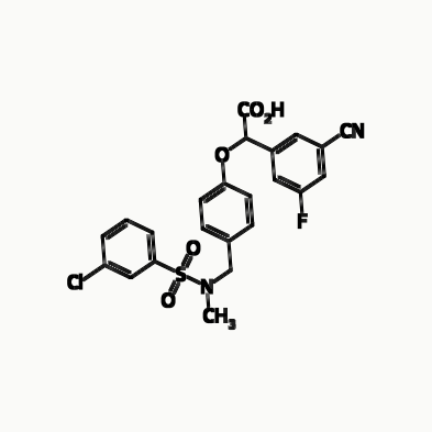 CN(Cc1ccc(OC(C(=O)O)c2cc(F)cc(C#N)c2)cc1)S(=O)(=O)c1cccc(Cl)c1